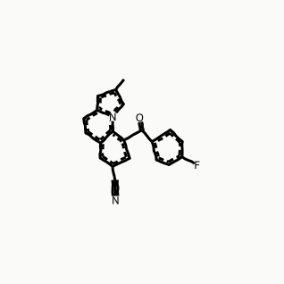 Cc1cc2ccc3cc(C#N)cc(C(=O)c4ccc(F)cc4)c3n2c1